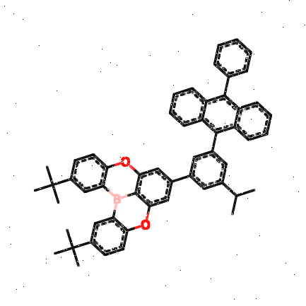 CC(C)c1cc(-c2cc3c4c(c2)Oc2ccc(C(C)(C)C)cc2B4c2cc(C(C)(C)C)ccc2O3)cc(-c2c3ccccc3c(-c3ccccc3)c3ccccc23)c1